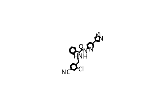 Cn1cc(-c2ccc(NC(=O)C(NCCc3ccc(C#N)cc3Cl)c3ccccc3)nc2)cn1